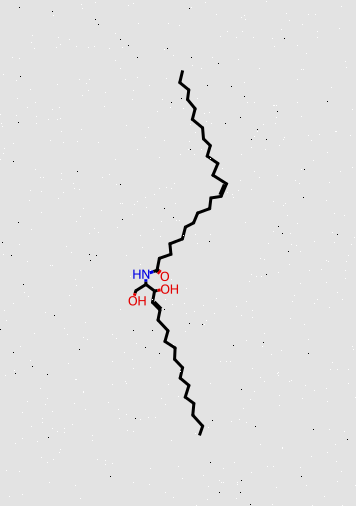 CCCCCCCCCCCC/C=C\CCCCCCCCCC(=O)NC(CO)C(O)/C=C/CCCCCCCCCCCCC